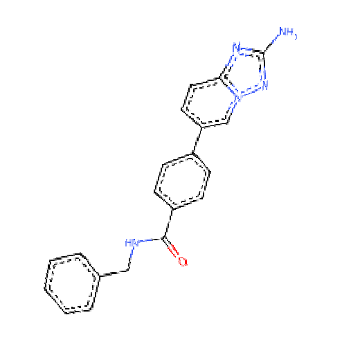 Nc1nc2ccc(-c3ccc(C(=O)NCc4ccccc4)cc3)cn2n1